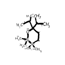 CC(C)C1(C(C)C)CC[Si](C)(C)[Si](C)(C)O1